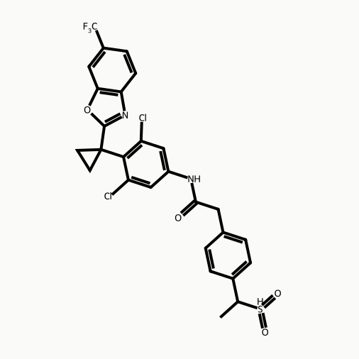 CC(c1ccc(CC(=O)Nc2cc(Cl)c(C3(c4nc5ccc(C(F)(F)F)cc5o4)CC3)c(Cl)c2)cc1)[SH](=O)=O